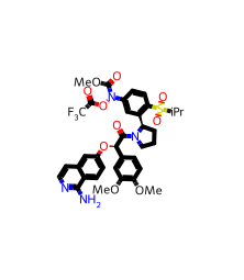 COC(=O)N(OC(=O)C(F)(F)F)c1ccc(S(=O)(=O)C(C)C)c([C@H]2CCCN2C(=O)[C@@H](Oc2ccc3c(N)nccc3c2)c2ccc(OC)c(OC)c2)c1